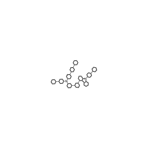 c1ccc(-c2ccc(-c3ccc(N(c4ccc(-c5ccccc5)cc4)c4cccc(-c5cccc(-c6cccc7c6c6ccccc6n7-c6ccc(-c7ccccc7)cc6)c5)c4)cc3)cc2)cc1